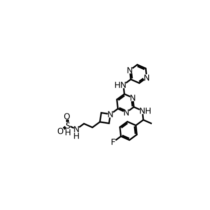 CC(Nc1nc(Nc2cnccn2)cc(N2CC(CCN[SH](=O)=O)C2)n1)c1ccc(F)cc1